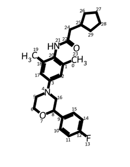 Cc1cc(N2CCOC(c3ccc(F)cc3)C2)cc(C)c1NC(=O)CC1CCCC1